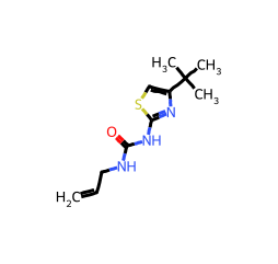 C=CCNC(=O)Nc1nc(C(C)(C)C)cs1